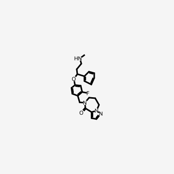 CNCCC(Oc1ccc(CN2CCCn3nccc3C2=O)c(F)c1)c1ccccc1